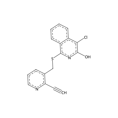 C#Cc1ncccc1CSc1nc(O)c(Cl)c2ccccc12